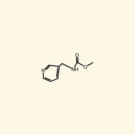 COC(=O)NCc1cc[c]nc1